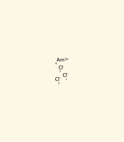 [Am+3].[Cl-].[Cl-].[Cl-]